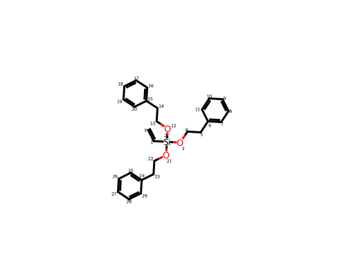 C=C[Si](OCCc1ccccc1)(OCCc1ccccc1)OCCc1ccccc1